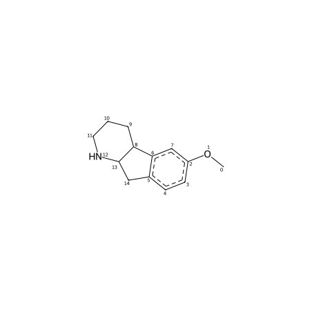 COc1ccc2c(c1)C1CCCNC1C2